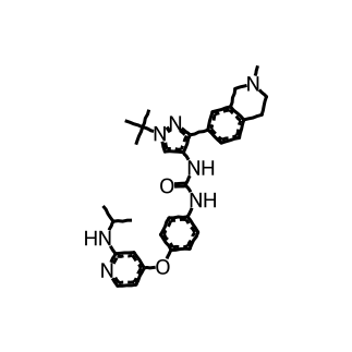 CC(C)Nc1cc(Oc2ccc(NC(=O)Nc3cn(C(C)(C)C)nc3-c3ccc4c(c3)CN(C)CC4)cc2)ccn1